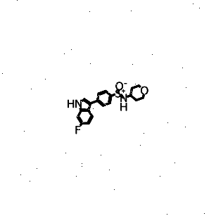 [O-][S+](NC1CCOCC1)c1ccc(-c2c[nH]c3cc(F)ccc23)cc1